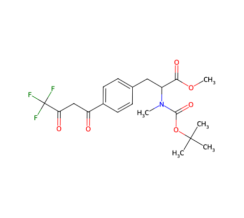 COC(=O)C(Cc1ccc(C(=O)CC(=O)C(F)(F)F)cc1)N(C)C(=O)OC(C)(C)C